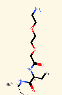 CC[C@H](C)[C@H](NC(=O)[C@H](CC(C)C)NC(=O)COCCOCCN)C(=O)O